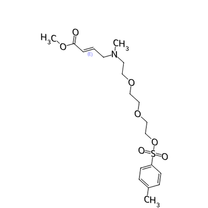 COC(=O)/C=C/CN(C)CCOCCOCCOS(=O)(=O)c1ccc(C)cc1